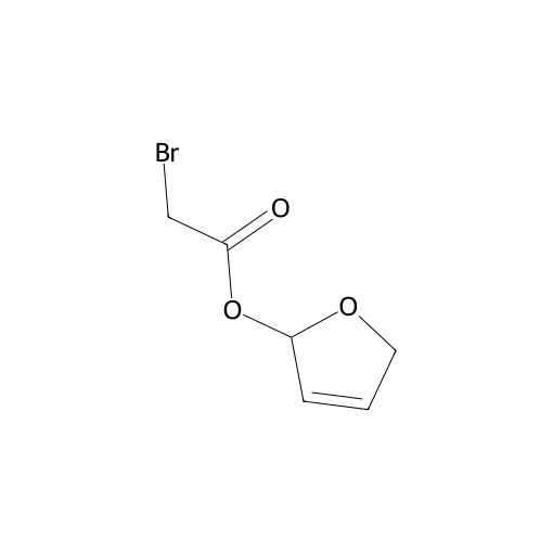 O=C(CBr)OC1C=CCO1